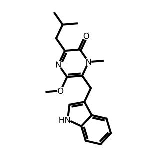 COc1nc(CC(C)C)c(=O)n(C)c1Cc1c[nH]c2ccccc12